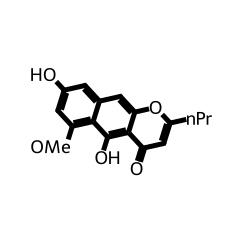 CCCc1cc(=O)c2c(O)c3c(OC)cc(O)cc3cc2o1